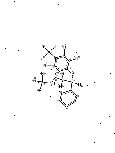 [2H]c1c([2H])c(C(F)(F)F)c([2H])c([2H])c1OC([2H])(c1ccccc1)C([2H])([2H])CNC([2H])([2H])[2H]